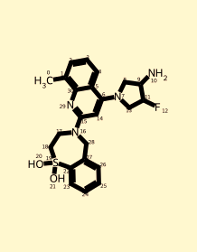 Cc1cccc2c(N3CC(N)C(F)C3)cc(N3CCS(O)(O)c4ccccc4C3)nc12